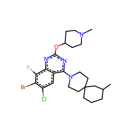 CC1CCCC2(CCN(c3nc(OC4CCN(C)CC4)nc4c(F)c(Br)c(Cl)cc34)CC2)C1